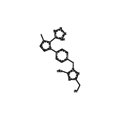 CCCCc1nc(CC(C)C)nn1Cc1ccc(-n2ccc(C)c2-c2nnn[nH]2)cc1